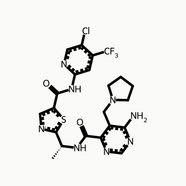 C[C@@H](NC(=O)c1ncnc(N)c1CN1CCCC1)c1ncc(C(=O)Nc2cc(C(F)(F)F)c(Cl)cn2)s1